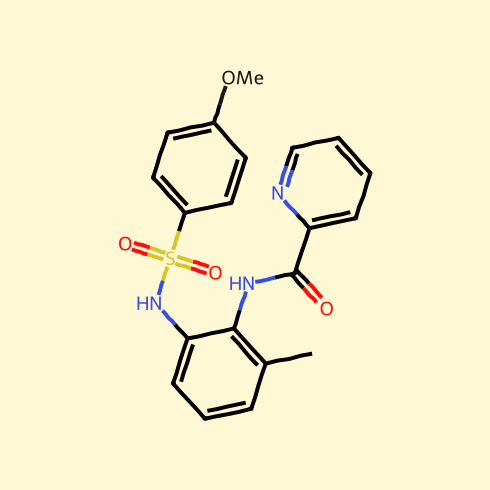 COc1ccc(S(=O)(=O)Nc2cccc(C)c2NC(=O)c2ccccn2)cc1